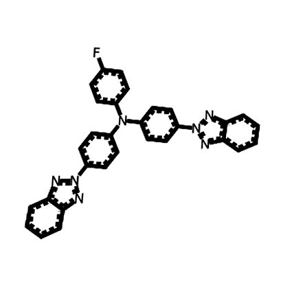 Fc1ccc(N(c2ccc(-n3nc4ccccc4n3)cc2)c2ccc(-n3nc4ccccc4n3)cc2)cc1